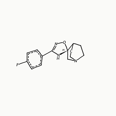 Fc1ccc(C2=NO[C@]3(CN4CCC3CC4)N2)cc1